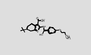 CC(C)(C)C1CCc2c(sc(NC(O)c3ccc(OCCO)cc3)c2C(=O)O)C1